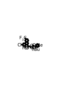 CCCCN(CCC(O)c1cc2ccc(C(F)(F)F)cc2c2cc(Cl)cc(Cl)c12)P(=O)(OC)Oc1ccccc1